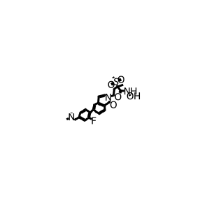 CN(C)Cc1ccc(-c2ccc3c(=O)n(CCC(C)(C(=O)NO)S(C)(=O)=O)ccc3c2)c(F)c1